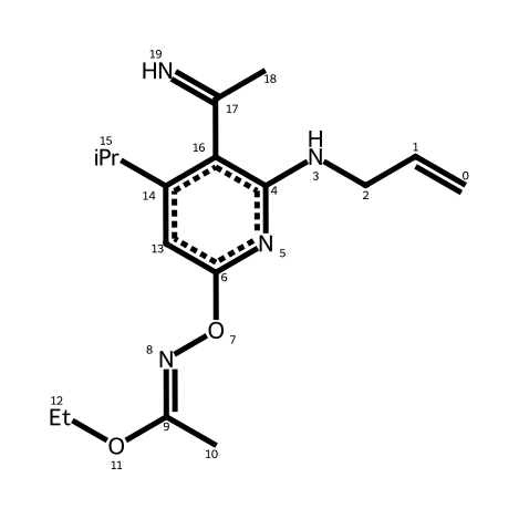 C=CCNc1nc(O/N=C(\C)OCC)cc(C(C)C)c1C(C)=N